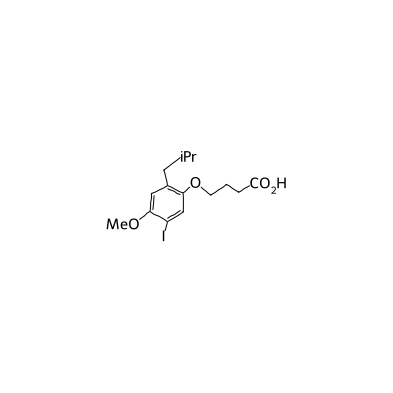 COc1cc(CC(C)C)c(OCCCC(=O)O)cc1I